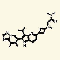 Cc1c(-c2[nH]c3ccc(C4CC(N(C)CC(=O)N(C)C)C4)nc3c2C(C)C)cn2ncnc2c1C